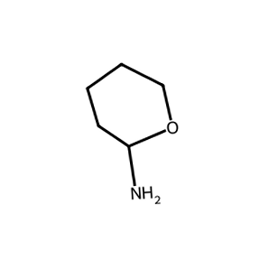 NC1CCCCO1